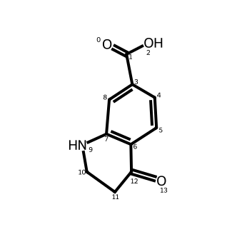 O=C(O)c1ccc2c(c1)NCCC2=O